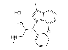 CNCC(O)[C@H](C1=CC=CCC1)n1cc(C)c2cccc(Cl)c21.Cl